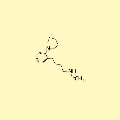 CCNCCCCc1ccccc1N1CCCCC1